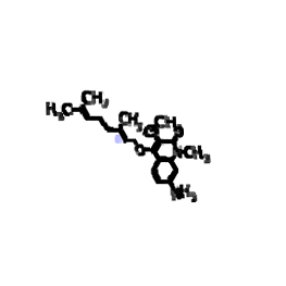 COc1c(OC/C=C(\C)CCC=C(C)C)c2ccc(N)cc2n(C)c1=O